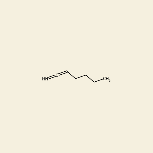 CCCCC=C=N